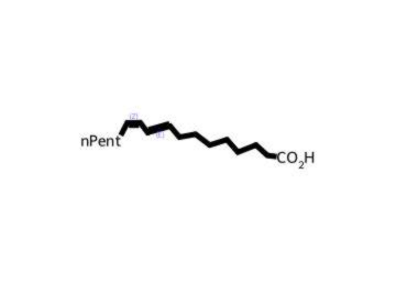 CCCCC/C=C\C=C\CCCCCCCC(=O)O